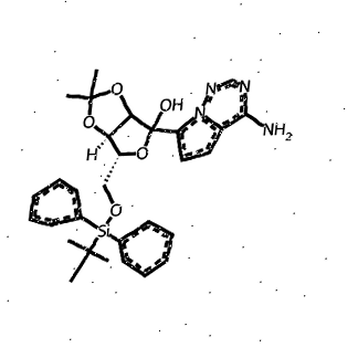 CC1(C)OC2[C@H](O1)[C@@H](CO[Si](c1ccccc1)(c1ccccc1)C(C)(C)C)OC2(O)c1ccc2c(N)ncnn12